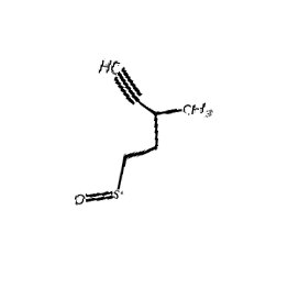 C#CC(C)CC[S+]=O